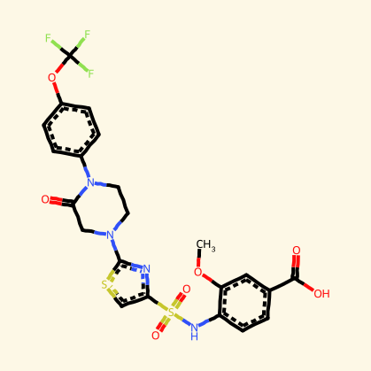 COc1cc(C(=O)O)ccc1NS(=O)(=O)c1csc(N2CCN(c3ccc(OC(F)(F)F)cc3)C(=O)C2)n1